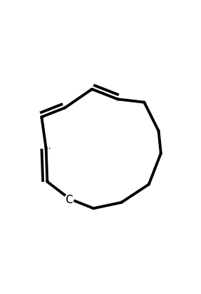 [C]1=C/CCCCCCC/C=C/C=C/1